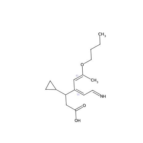 CCCCO/C(C)=C/C(=C\C=N)C(CC(=O)O)C1CC1